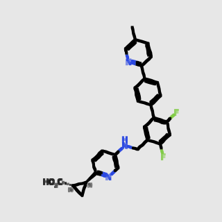 Cc1ccc(-c2ccc(-c3cc(CNc4ccc([C@H]5C[C@@H]5C(=O)O)nc4)c(F)cc3F)cc2)nc1